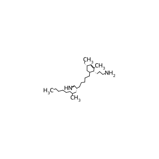 CCCCCCC(C)C[C@H](C=N)CCCCCC1C[C@H](CC)C=C(C)[C@@H]1CCCN